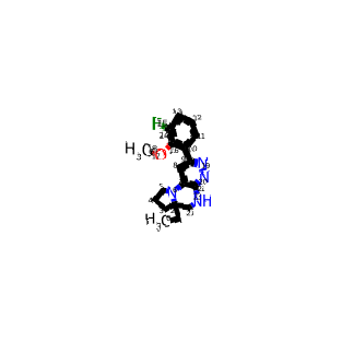 CCC12CCCN1c1cc(-c3cccc(F)c3OC)nnc1NC2